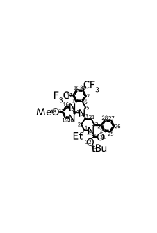 CC[C@@H]1C[C@H](N(Cc2cc(C(F)(F)F)cc(C(F)(F)F)c2)c2ncc(OC)cn2)CC(c2ccccc2)N1C(=O)OC(C)(C)C